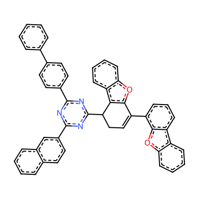 C1=C(c2cccc3c2oc2ccccc23)c2oc3ccccc3c2C(c2nc(-c3ccc(-c4ccccc4)cc3)nc(-c3ccc4ccccc4c3)n2)C1